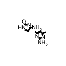 Cc1cc(C)nc(N)n1.Nc1cc[nH]c(=O)n1